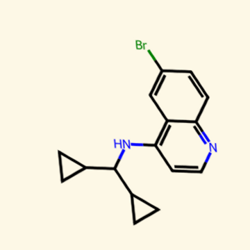 Brc1ccc2nccc(NC(C3CC3)C3CC3)c2c1